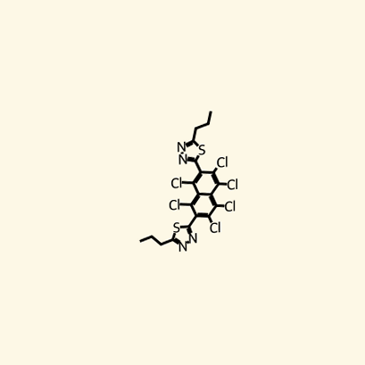 CCCc1nnc(-c2c(Cl)c(Cl)c3c(Cl)c(Cl)c(-c4nnc(CCC)s4)c(Cl)c3c2Cl)s1